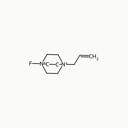 C=CC[N+]12CC[N+](F)(CC1)CC2